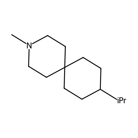 CC(C)C1CCC2(CC1)CCN(C)CC2